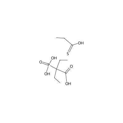 CCC(CC)(C(=O)O)P(=O)(O)O.CCC(O)=S